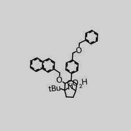 CC(C)(C)C12CCC(CC(c3ccc(COCc4ccccc4)cc3)C1OCc1ccc3ccccc3c1)N2C(=O)O